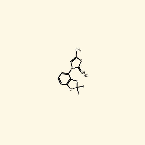 Cc1cn(-c2cccc3c2OC(F)(F)O3)c(=N)s1.Cl